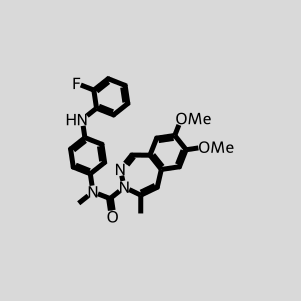 COc1cc2c(cc1OC)C=C(C)N(C(=O)N(C)c1ccc(Nc3ccccc3F)cc1)N=C2